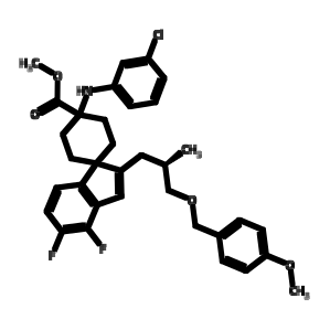 COC(=O)C1(Nc2cccc(Cl)c2)CCC2(CC1)C(C[C@@H](C)COCc1ccc(OC)cc1)=Cc1c2ccc(F)c1F